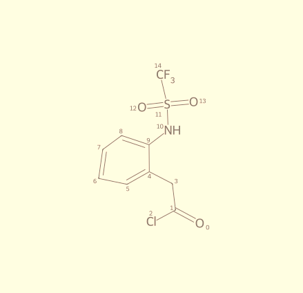 O=C(Cl)Cc1ccccc1NS(=O)(=O)C(F)(F)F